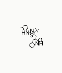 Cc1cccc(Nc2nc(C(C)(C)C)c(Cc3cc4ccccc4[nH]c3=O)s2)c1